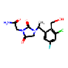 CC(c1cc(F)cc(Cl)c1CO)N1CC(=O)N(CC(N)=O)C1=O